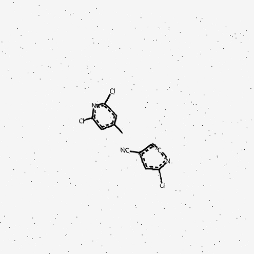 Cc1cc(Cl)nc(Cl)c1.N#Cc1ccnc(Cl)c1